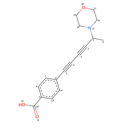 CC(C#CC#Cc1ccc(C(=O)O)cc1)N1CCOCC1